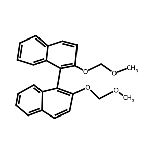 COCOc1ccc2ccccc2c1-c1c(OCOC)ccc2ccccc12